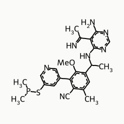 COc1c(C(C)Nc2ncnc(N)c2C(C)=N)cc(C)c(C#N)c1-c1cncc(SP(C)C)c1